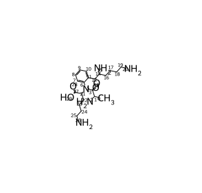 CC(N)C(=O)N(c1ccccc1C(=O)C(N)CCCCN)C(CCCCN)C(=O)O